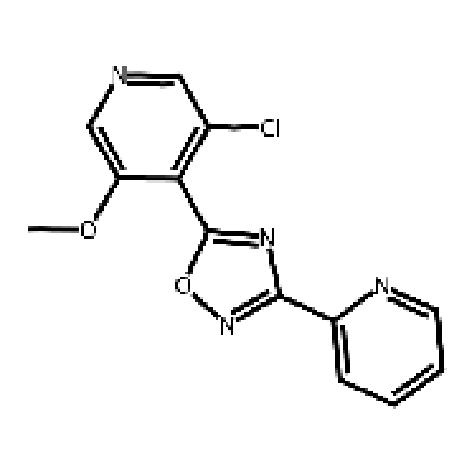 COc1cncc(Cl)c1-c1nc(-c2ccccn2)no1